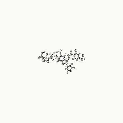 Cc1cc(-c2nc3n(CC(=O)Nc4ccc(C(F)(F)F)cc4Cl)c4c(c(=O)n3n2)C2(CCN(C(=O)c3ncnc(C)c3O)CC2)CC4C)c(F)c(C)n1